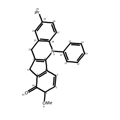 COC1C=CC2=C(CC3=C2N(c2ccccc2)c2ccc(C(C)C)cc2C3)C1=O